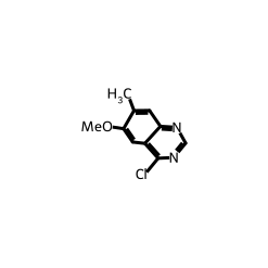 COc1cc2c(Cl)ncnc2cc1C